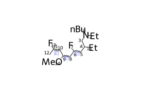 CCCCN(CC)CC(/C=C(F)/C=C(\C=C(/C)F)OC)CC